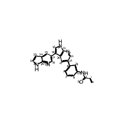 C=CC(=O)Nc1cccc(-c2cnc3[nH]cc(-c4cnc5[nH]ccc5c4)c3c2)c1